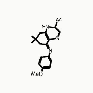 COc1ccc(/N=C2\CC(C)(C)CC3=C2SCC(C(C)=O)N3)cc1